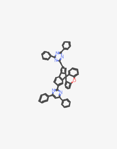 c1ccc(-c2cc(-c3ccccc3)nc(-c3ccc4c(c3)C3(c5ccccc5Oc5ccccc53)c3ccc(-c5nc(-c6ccccc6)nc(-c6ccccc6)n5)cc3-4)n2)cc1